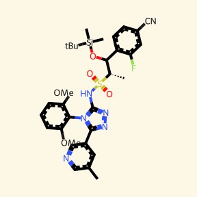 COc1cccc(OC)c1-n1c(NS(=O)(=O)[C@@H](C)C(O[Si](C)(C)C(C)(C)C)c2ccc(C#N)cc2F)nnc1-c1cncc(C)c1